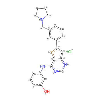 Cl.Oc1cccc(Nc2ncnc3cc(-c4cccc(CN5CCCC5)c4)sc23)c1